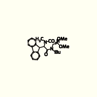 CCC(C)N(CC(OC)OC)C(=O)C(C1c2ccccc2-c2ccccc21)N(C)C(=O)O